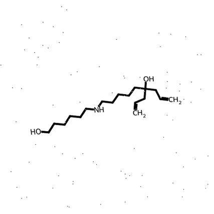 C=CCC(O)(CC=C)CCCCCNCCCCCCO